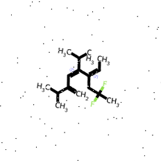 C=C(/C=C(\C(=C/C)CC(C)(F)F)C(C)C)C(C)C